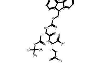 CC(C)(C)OC(=O)C[C@H](NC(=O)OCC1c2ccccc2-c2ccccc21)C(=O)N[C@@H](CCC(N)=O)C(=O)O